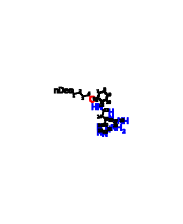 CCCCCCCCCCCCCCOc1ccccc1NCCC(NC(=N)N)C1N=NN=N1